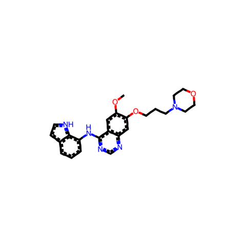 COc1cc2c(Nc3cccc4cc[nH]c34)ncnc2cc1OCCCN1CCOCC1